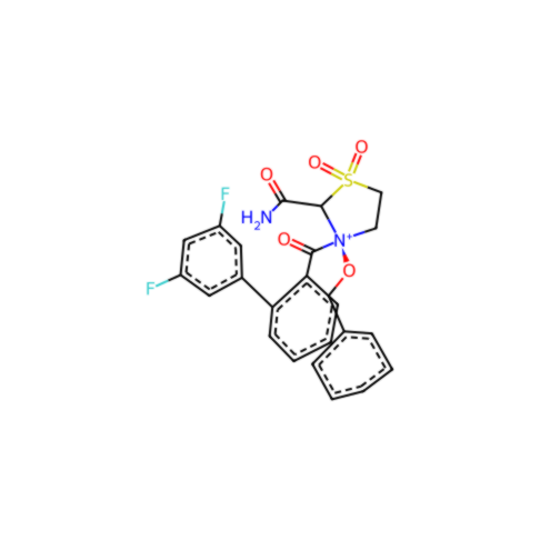 NC(=O)C1[N@@+](OCc2ccccc2)(C(=O)c2ccccc2-c2cc(F)cc(F)c2)CCS1(=O)=O